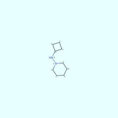 C1CCN(NC2CCC2)CC1